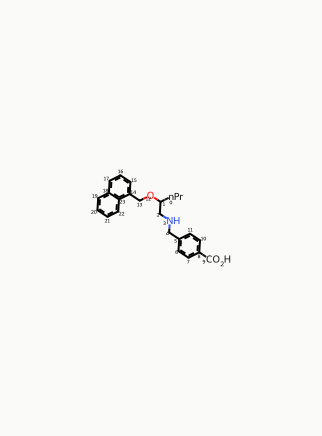 CCCC(CNCc1ccc(C(=O)O)cc1)OCc1cccc2ccccc12